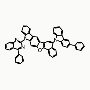 c1ccc(-c2ccc3c(c2)c2ccccc2n3-c2cc3c4cc5c6ccccc6n(-c6nc(-c7ccccc7)c7ccccc7n6)c5cc4oc3c3ccccc23)cc1